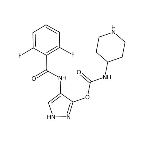 O=C(NC1CCNCC1)Oc1n[nH]cc1NC(=O)c1c(F)cccc1F